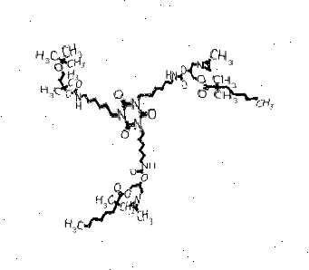 CCCCCCC(C)(C)C(=O)OCC(CN1CC1C)OC(=O)NCCCCCCn1c(=O)n(CCCCCCNC(=O)OC(COC(=O)C(C)(C)CCCCCC)CN2CC2C)c(=O)n(CCCCCCNC(=O)OC(C)(C)CCOC(C)(C)C)c1=O